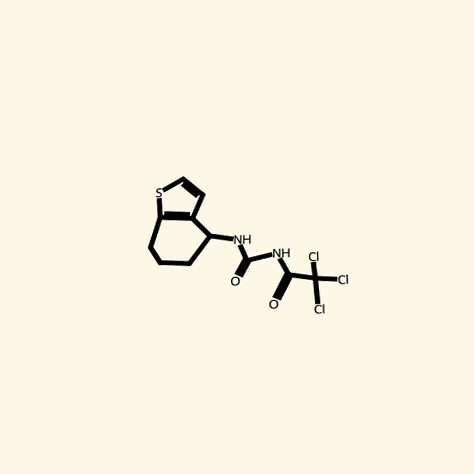 O=C(NC(=O)C(Cl)(Cl)Cl)NC1CCCc2sccc21